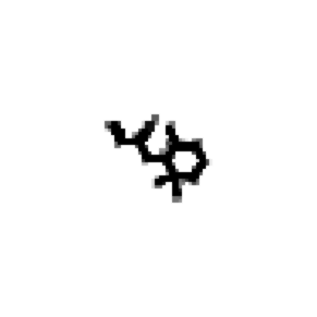 C=CC(=O)CC1C(C)=C[CH]CC1(C)C